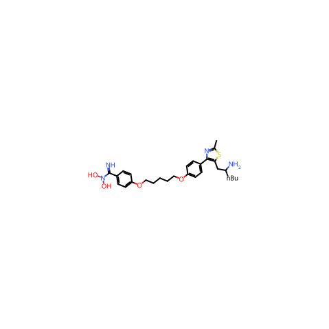 CCCCC(N)Cc1sc(C)nc1-c1ccc(OCCCCCOc2ccc(C(=N)N(O)O)cc2)cc1